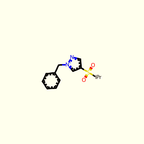 CC(C)S(=O)(=O)c1cnn(Cc2ccccc2)c1